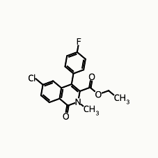 CCOC(=O)c1c(-c2ccc(F)cc2)c2cc(Cl)ccc2c(=O)n1C